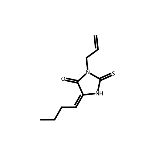 C=CCN1C(=O)C(=CCCC)NC1=S